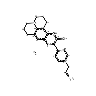 C=CC[n+]1ccc(-c2cc3cc4c5c(c3oc2=O)CCCN5CCC4)cc1.[Br-]